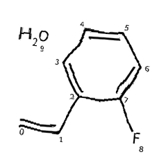 C=Cc1ccccc1F.O